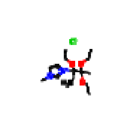 CCOC(C)(OCC)C([SiH3])(OCC)[n+]1ccn(C)c1.[Cl-]